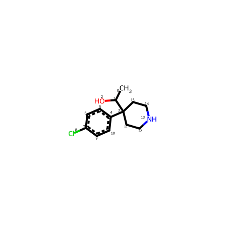 CC(O)C1(c2ccc(Cl)cc2)CCNCC1